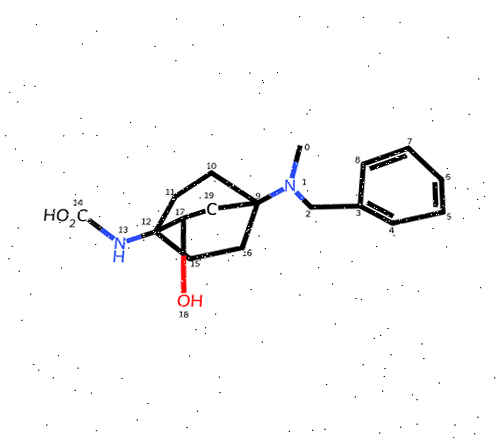 CN(Cc1ccccc1)C12CCC(NC(=O)O)(CC1)C(O)C2